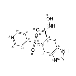 O=C(NO)[C@H]1Cc2[nH]cnc2CN1S(=O)(=O)c1ccncc1